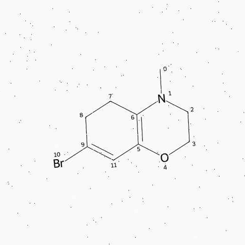 CN1CCOC2=C1CCC(Br)=C2